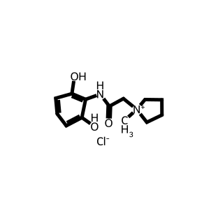 C[N+]1(CC(=O)Nc2c(O)cccc2O)CCCC1.[Cl-]